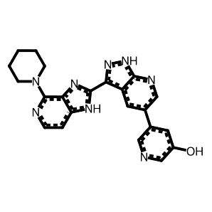 Oc1cncc(-c2cnc3[nH]nc(-c4nc5c(N6CCCCC6)nccc5[nH]4)c3c2)c1